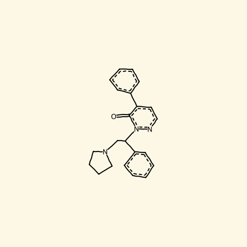 O=c1c(-c2ccccc2)ccnn1C(CN1CCCC1)c1ccccc1